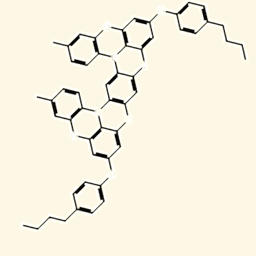 CCCCc1ccc(Oc2cc3c4c(c2)Sc2cc5c(cc2B4c2ccc(C)cc2O3)B2c3ccc(C)cc3Oc3cc(Oc4ccc(CCCC)cc4)cc(c32)S5)cc1